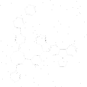 c1ccc(/C2=N/C(c3cccc(-n4c5ccccc5c5cc6c(cc54)C4(CCCC4)c4ccccc4-6)c3)=N\C(c3ccc4c(c3)oc3ccc(-c5ccccc5)cc34)CCC2)cc1